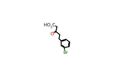 O=C(O)CC(=O)CCc1cccc(Br)c1